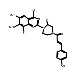 CCC1CN(C(=O)C=Cc2ccc(C#N)cc2)CCN1c1nc(N)c2cc(OC)c(OC)c(F)c2n1